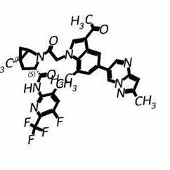 CC(=O)c1cn(CC(=O)N2C3C[C@]3(C)C[C@H]2C(=O)Nc2nc(C(F)(F)F)c(F)cc2C)c2c(C)cc(-c3cnc4cc(C)nn4c3)cc12